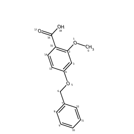 COc1cc(OCc2ccccc2)ccc1C(=O)O